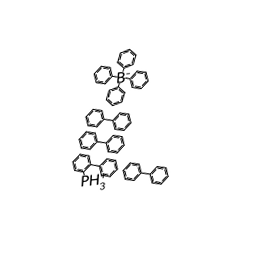 [PH3+]c1ccccc1-c1ccccc1.c1ccc(-c2ccccc2)cc1.c1ccc(-c2ccccc2)cc1.c1ccc(-c2ccccc2)cc1.c1ccc([B-](c2ccccc2)(c2ccccc2)c2ccccc2)cc1